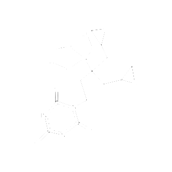 CCO[Si](OCC)(OCC)C(CCn1c(=O)[nH]c(=O)[nH]c1=O)(CC1CO1)CC1CO1